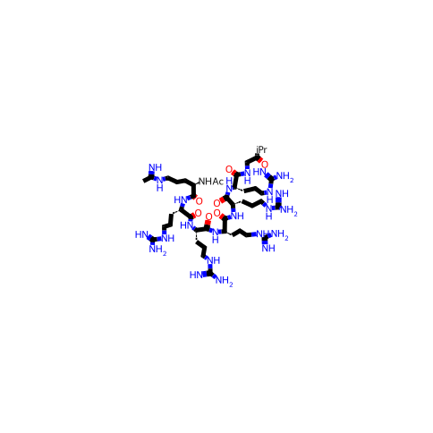 CC(=N)NCCC[C@H](NC(C)=O)C(=O)N[C@@H](CCCNC(=N)N)C(=O)N[C@@H](CCCNC(=N)N)C(=O)N[C@@H](CCCNC(=N)N)C(=O)N[C@@H](CCCNC(=N)N)C(=O)N[C@@H](CCCNC(=N)N)C(=O)NCC(=O)C(C)C